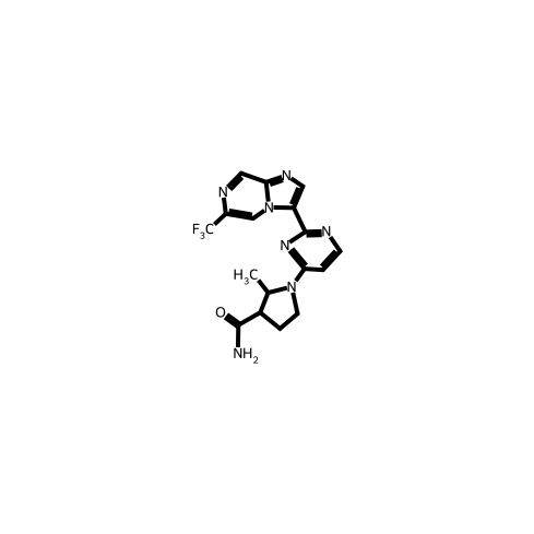 CC1C(C(N)=O)CCN1c1ccnc(-c2cnc3cnc(C(F)(F)F)cn23)n1